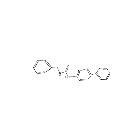 O=C(NCc1ccccc1)Nc1ccc(-c2ccccc2)cn1